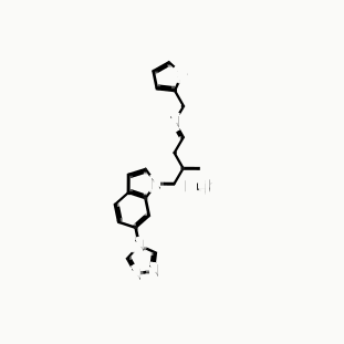 CC(CC=NCc1ccco1)Cn1ccc2ccc(-n3cnnc3)cc21.Cl.Cl